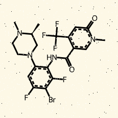 C[C@H]1CN(c2cc(F)c(Br)c(F)c2NC(=O)c2cn(C)c(=O)cc2C(F)(F)F)CCN1C